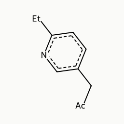 CCc1ccc(CC(C)=O)cn1